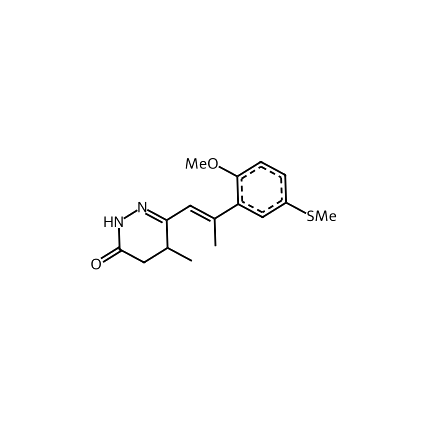 COc1ccc(SC)cc1C(C)=CC1=NNC(=O)CC1C